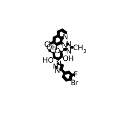 Cc1nc([C@@H]2O[C@H](CO)[C@H](O)[C@H](n3cc(-c4ccc(Br)c(F)c4)nn3)[C@H]2O)n(-c2cc(Cl)cc3cccnc23)n1